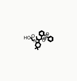 Cc1c(C(=O)c2ccccc2S(=O)(=O)c2ccccc2)c2c(n1CC(=O)O)CC(C)(C)CC2